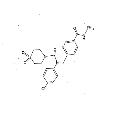 NNC(=O)c1ccc(CN(C(=O)N2CCS(=O)(=O)CC2)c2ccc(Cl)cc2)nc1